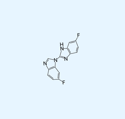 Fc1ccc2nc(-n3cnc4ccc(F)cc43)[nH]c2c1